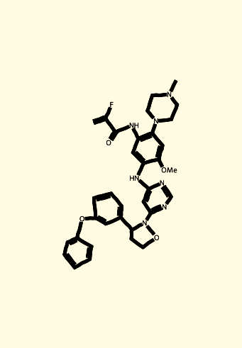 C=C(F)C(=O)Nc1cc(Nc2cc(N3OCCC3c3cccc(Oc4ccccc4)c3)ncn2)c(OC)cc1N1CCN(C)CC1